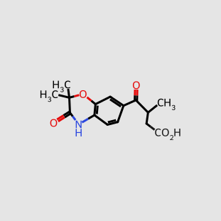 CC(CC(=O)O)C(=O)c1ccc2c(c1)OC(C)(C)C(=O)N2